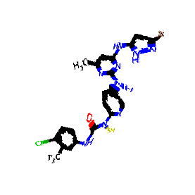 Cc1cc(Nc2cc(Br)n[nH]2)nc(Nc2ccc(N(S)C(=O)Nc3ccc(Cl)c(C(F)(F)F)c3)nc2)n1